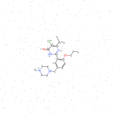 CCCOc1ccc(CN2CCN(C)CC2)cc1-c1nc(C(C)C)c(Cl)c(=O)[nH]1